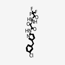 O=C(NNC(=O)C(F)(F)F)C(=O)Nc1ccc(Cc2cccc(Cl)c2)cn1